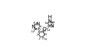 Cc1ccc(-c2cncnc2C)c(OCc2c[nH]cn2)c1